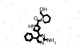 Nc1ncc(-c2ccccc2)c(-c2c[nH]c(C(=O)N3CCCCC3CO)c2)n1